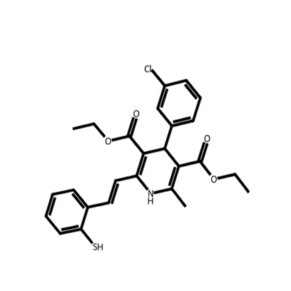 CCOC(=O)C1=C(C)NC(C=Cc2ccccc2S)=C(C(=O)OCC)C1c1cccc(Cl)c1